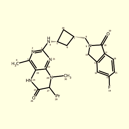 Cc1nc(N[C@H]2C[C@@H](CN3Cc4cc(F)ccc4C3=O)C2)nc2c1NC(=O)C(C(C)C)N2C